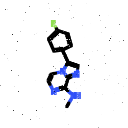 CNc1nccn2c(-c3ccc(F)cc3)cnc12